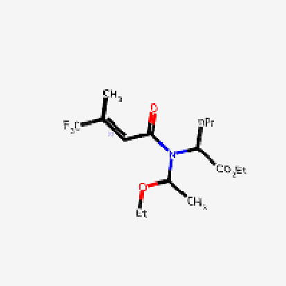 CCCC(C(=O)OCC)N(C(=O)/C=C(\C)C(F)(F)F)C(C)OCC